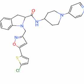 O=C(NC1CCN(c2ccncc2)CC1)C1Cc2ccccc2N1Cc1cc(-c2ccc(Cl)s2)on1